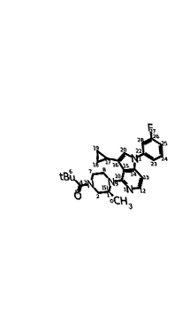 C[C@H]1CN(C(=O)C(C)(C)C)CCN1c1nccc2c1c(C1CC1)cn2-c1cccc(F)c1